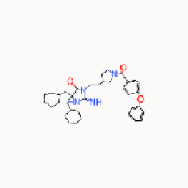 N=C1NC(CC2CCCCC2)(CC2CCCCC2)C(=O)N1CCC1CCN(C(=O)c2ccc(Oc3ccccc3)cc2)C1